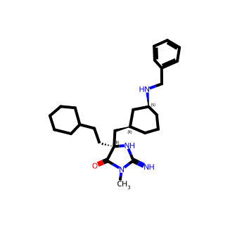 CN1C(=N)N[C@](CCC2CCCCC2)(C[C@@H]2CCC[C@H](NCc3ccccc3)C2)C1=O